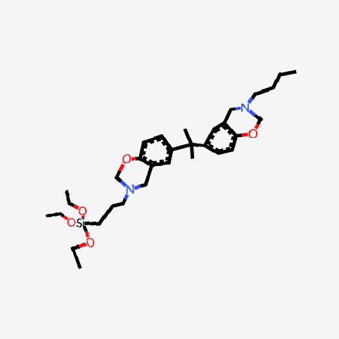 CCCCN1COc2ccc(C(C)(C)c3ccc4c(c3)CN(CCC[Si](OCC)(OCC)OCC)CO4)cc2C1